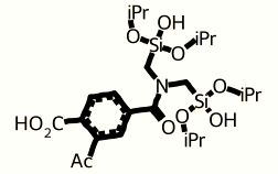 CC(=O)c1cc(C(=O)N(C[Si](O)(OC(C)C)OC(C)C)C[Si](O)(OC(C)C)OC(C)C)ccc1C(=O)O